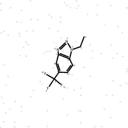 CCn1nnc2cc(C(F)(F)F)ccc21